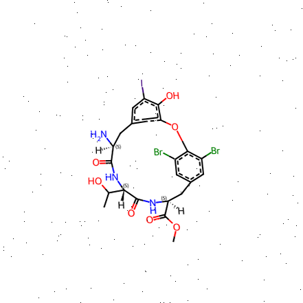 COC(=O)[C@@H]1Cc2cc(Br)c(c(Br)c2)Oc2cc(cc(I)c2O)C[C@H](N)C(=O)N[C@@H](C(C)O)C(=O)N1